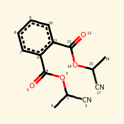 CC(C#N)OC(=O)c1ccccc1C(=O)OC(C)C#N